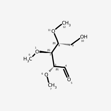 CO[C@H]([C@H](C=O)OC)[C@@H](CO)OC